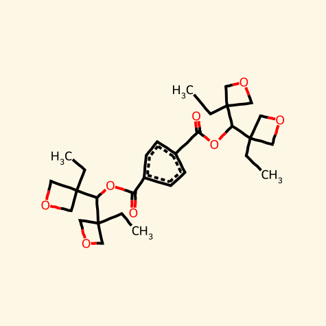 CCC1(C(OC(=O)c2ccc(C(=O)OC(C3(CC)COC3)C3(CC)COC3)cc2)C2(CC)COC2)COC1